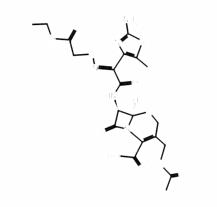 CCOC(=O)CON=C(C(=O)N[C@@H]1C(=O)N2C(C(=O)O)=C(COC(C)=O)CS[C@H]12)c1nc(N)sc1C